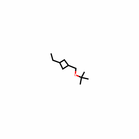 CCC1CC(COC(C)(C)C)C1